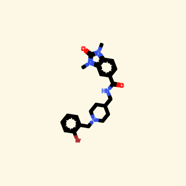 Cn1c(=O)n(C)c2cc(C(=O)NCC3CCN(Cc4ccccc4Br)CC3)ccc21